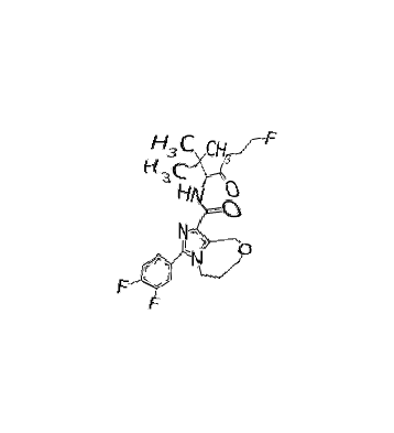 CC(C)(C)[C@H](NC(=O)c1nc(-c2ccc(F)c(F)c2)n2c1COCCC2)C(=O)CCCF